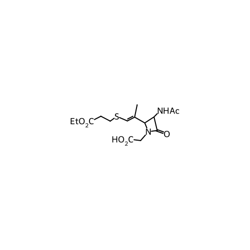 CCOC(=O)CCSC=C(C)C1C(NC(C)=O)C(=O)N1CC(=O)O